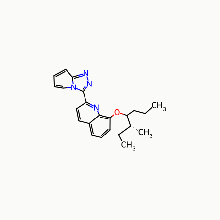 CCCC(Oc1cccc2ccc(-c3nnc4ccccn34)nc12)[C@H](C)CC